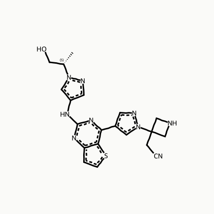 C[C@@H](CO)n1cc(Nc2nc(-c3cnn(C4(CC#N)CNC4)c3)c3sccc3n2)cn1